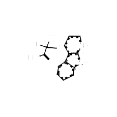 O=C(O)C(F)(F)F.c1ccc2c(c1)[nH]c1ncccc12